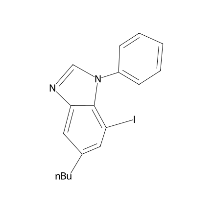 CCCCc1cc(I)c2c(c1)ncn2-c1ccccc1